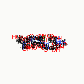 CCN1CCN(C(=O)NC(C(=O)N[C@H]2Cc3cccc(C(=O)O)c3OB2O)C(O)c2ccc(OCCN3CCN(C(=O)NC(C(=O)N[C@H]4Cc5cccc(C(=O)O)c5OB4O)C(O)c4ccc(OCCN5CCN(C(=O)NC(C(=O)N[C@H]6Cc7cccc(C(=O)O)c7OB6O)C(O)c6cccc(O)c6O)C(=O)C5=O)c(O)c4Cl)C(=O)C3=O)c(O)c2)C(=O)C1=O